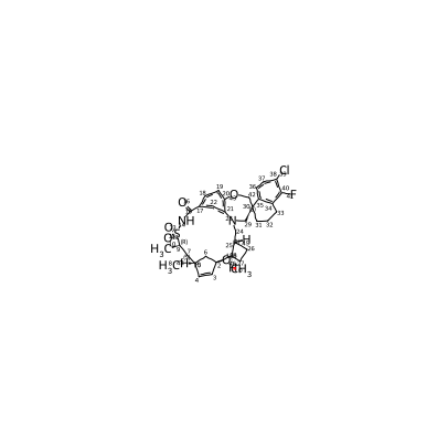 COC12C=C[C@@H](C1)[C@H](C)[C@@H](C)S(=O)(=O)NC(=O)c1ccc3c(c1)N(C[C@@H]1CC[C@H]12)C[C@@]1(CCCc2c1ccc(Cl)c2F)CO3